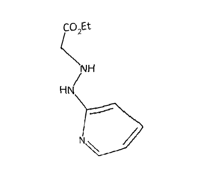 CCOC(=O)CNNc1ccccn1